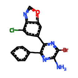 Nc1nc(-c2ccccc2)c(-c2cc(Cl)c3ncoc3c2)nc1Br